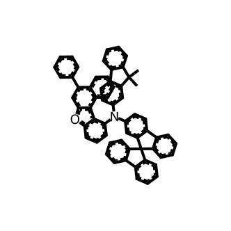 CC1(C)c2ccccc2-c2ccc(N(c3ccc4c(c3)C3(c5ccccc5-c5ccccc53)c3ccccc3-4)c3cccc4oc5cc(-c6ccccc6)c6ccccc6c5c34)cc21